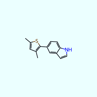 Cc1cc(C)c(-c2ccc3[nH]ccc3c2)s1